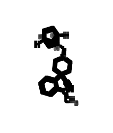 COc1ccccc1C1(C#N)CCN(C[C@@H]2C[C@H]3C=C[C@H]2C3)CC1